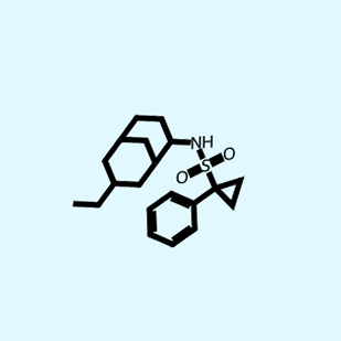 CCC1CC2CCC(NS(=O)(=O)C3(c4ccccc4)CC3)C(C1)C2